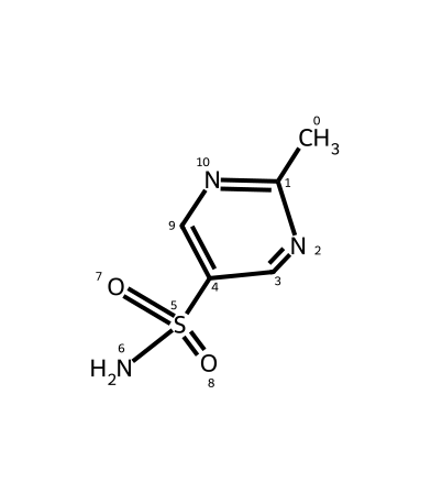 Cc1ncc(S(N)(=O)=O)cn1